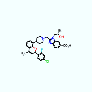 CC[C@H](O)Cn1c(CN2CCC(c3cccc4c3OC(c3ccc(Cl)cc3F)C=C4C)CC2)nc2ccc(C(=O)O)cc21